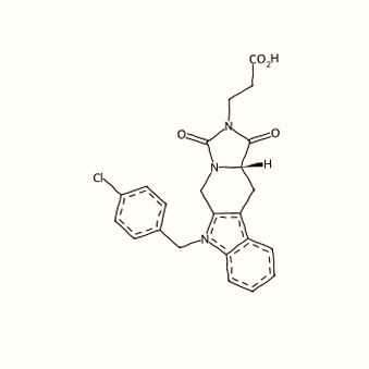 O=C(O)CCN1C(=O)[C@@H]2Cc3c(n(Cc4ccc(Cl)cc4)c4ccccc34)CN2C1=O